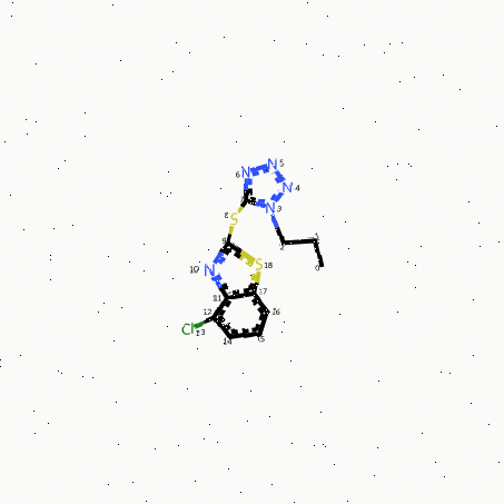 CCCn1nnnc1Sc1nc2c(Cl)cccc2s1